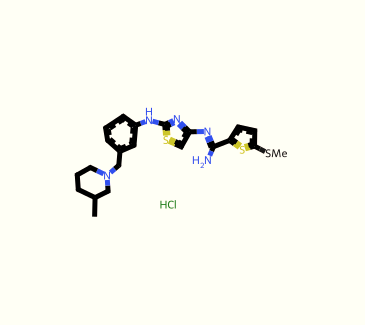 CSc1ccc(C(N)=Nc2csc(Nc3cccc(CN4CCCC(C)C4)c3)n2)s1.Cl